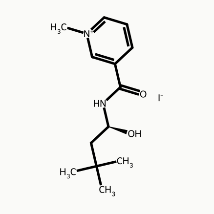 C[n+]1cccc(C(=O)N[C@@H](O)CC(C)(C)C)c1.[I-]